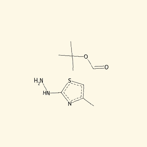 CC(C)(C)OC=O.Cc1csc(NN)n1